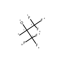 CC([O])(C(F)(F)F)C(F)(F)F